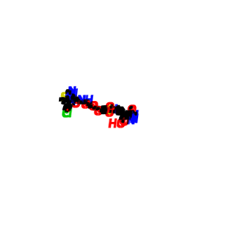 COc1cc(C(CC(=O)O)c2ccc(C)c(CN(C)S(=O)(=O)c3ccc(OCCOCCOCCNC(=O)C[C@@H]4N=C(c5ccc(Cl)cc5)c5c(sc(C)c5C)-n5c(C)nnc54)cc3)c2)cc2nnn(C)c12